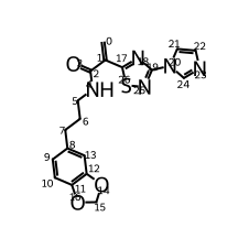 C=C(C(=O)NCCCc1ccc2c(c1)OCO2)c1nc(-n2ccnc2)ns1